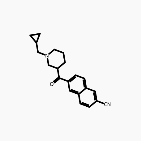 N#Cc1ccc2cc(C(=O)C3CCCN(CC4CC4)C3)ccc2c1